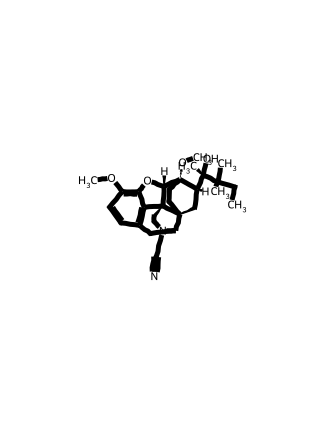 CCC(C)(C)[C@@](C)(O)[C@H]1C[C@]23CC[C@@]1(OC)[C@H]1Oc4c(OC)ccc5c4[C@]12CCN(C#N)C3C5